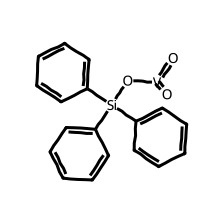 [O]=[V](=[O])[O][Si](c1ccccc1)(c1ccccc1)c1ccccc1